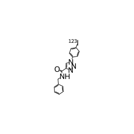 O=C(NCc1ccccc1)c1cn(-c2ccc([123I])cc2)nn1